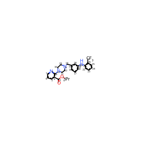 CC(C)OC(=O)c1cccnc1N1CCN(Cc2cccc(Nc3ccccc3C(F)(F)F)c2)CC1